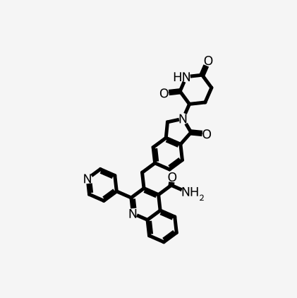 NC(=O)c1c(Cc2ccc3c(c2)CN(C2CCC(=O)NC2=O)C3=O)c(-c2ccncc2)nc2ccccc12